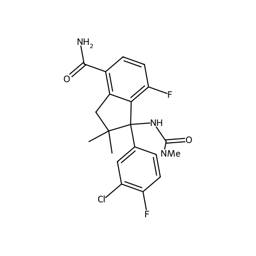 CNC(=O)NC1(c2ccc(F)c(Cl)c2)c2c(F)ccc(C(N)=O)c2CC1(C)C